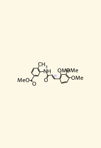 COC(=O)c1ccc(C)c(NC(=O)/C=C/c2ccc(OC)c(OC)c2OC)c1